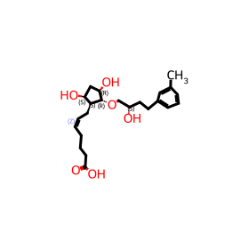 Cc1cccc(CC[C@H](O)CO[C@@H]2[C@@H](C/C=C\CCCC(=O)O)[C@@H](O)C[C@H]2O)c1